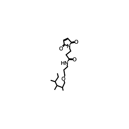 CCC(C)C(C)C(C)COCCCNC(=O)CCN1C(=O)C=CC1=O